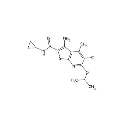 Cc1c(Cl)c(OC(C)C)nc2sc(C(=O)NC3CC3)c(N)c12